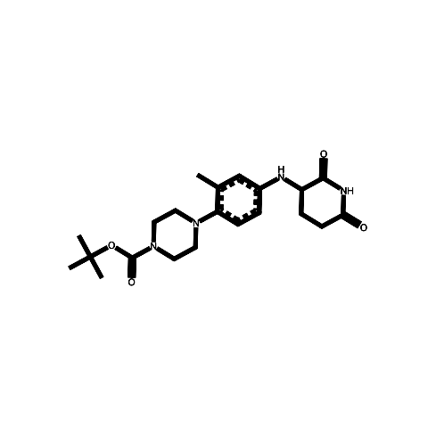 Cc1cc(NC2CCC(=O)NC2=O)ccc1N1CCN(C(=O)OC(C)(C)C)CC1